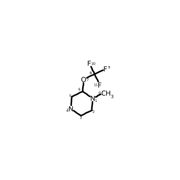 CN1CC[N]CC1OC(F)(F)F